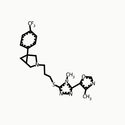 Cc1ncoc1-c1nnc(SCCCN2CC3CC3(c3ccc(C(F)(F)F)cc3)C2)n1C